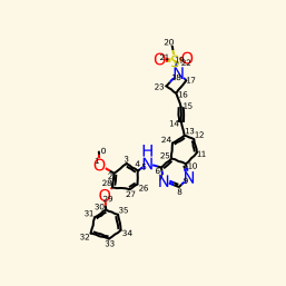 COc1cc(Nc2ncnc3ccc(C#CC4CN(S(C)(=O)=O)C4)cc23)ccc1Oc1ccccc1